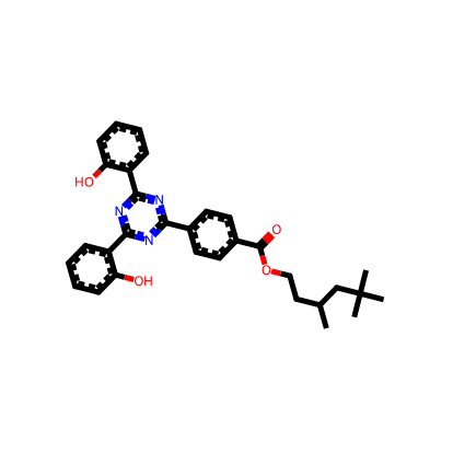 CC(CCOC(=O)c1ccc(-c2nc(-c3ccccc3O)nc(-c3ccccc3O)n2)cc1)CC(C)(C)C